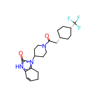 O=C(C[C@H]1CC[C@@H](C(F)(F)F)CC1)N1CCC(n2c3c([nH]c2=O)C=CCC3)CC1